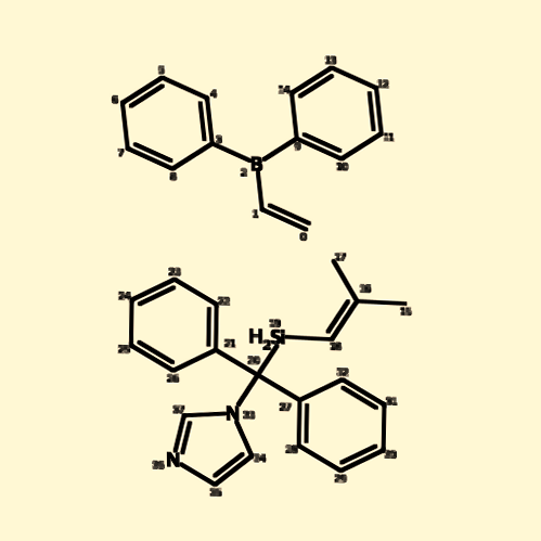 C=CB(c1ccccc1)c1ccccc1.CC(C)=C[SiH2]C(c1ccccc1)(c1ccccc1)n1ccnc1